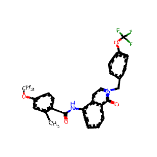 COc1ccc(C(=O)Nc2cccc3c(=O)n(Cc4ccc(OC(F)(F)F)cc4)ccc23)c(C)c1